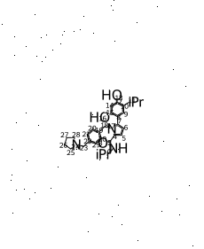 CC(C)NC(=O)c1ccc(-c2cc(C(C)C)c(O)cc2O)n1Cc1ccc(CN2CCCC2)cc1